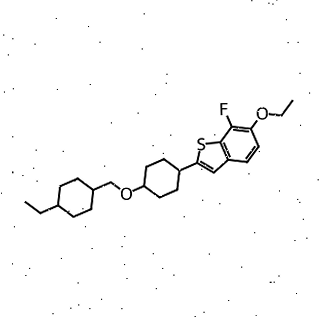 CCOc1ccc2cc(C3CCC(OCC4CCC(CC)CC4)CC3)sc2c1F